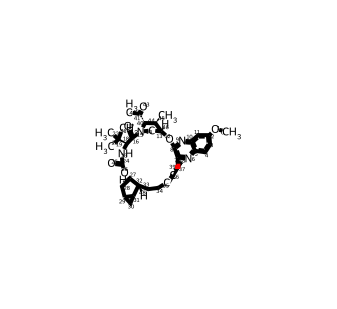 COc1ccc2nc3c(nc2c1)O[C@H]1CN(C(=O)[C@H](C(C)(C)C)NC(=O)O[C@@H]2CC4CC4[C@H]2CCCCC32CC2)[C@H](C(C)=O)[C@@H]1C